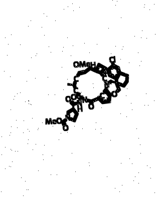 COC(=O)N1CC[C@H](C(=O)N[S@@]2(=O)=NC(=O)c3ccc4c(c3)N(C[C@@H]3CC[C@H]3[C@@H](OC)/C=C/C[C@H](C)C2)C[C@@]2(CCCc3cc(Cl)ccc32)CO4)C1